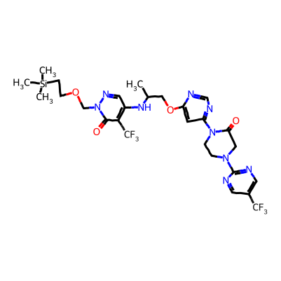 CC(COc1cc(N2CCN(c3ncc(C(F)(F)F)cn3)CC2=O)ncn1)Nc1cnn(COCC[Si](C)(C)C)c(=O)c1C(F)(F)F